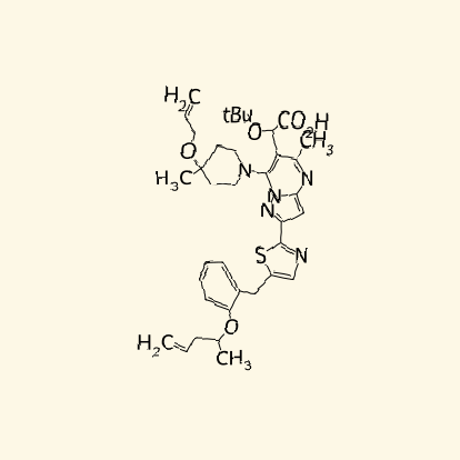 C=CCOC1(C)CCN(c2c(C(OC(C)(C)C)C(=O)O)c(C)nc3cc(-c4ncc(Cc5ccccc5OC(C)CC=C)s4)nn23)CC1